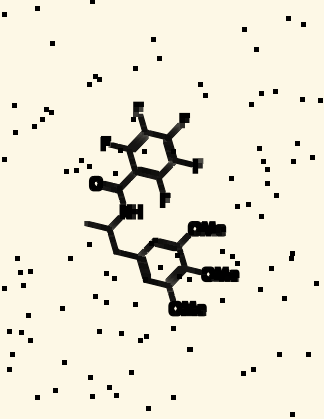 COc1cc(CC(C)NC(=O)c2c(F)c(F)c(F)c(F)c2F)cc(OC)c1OC